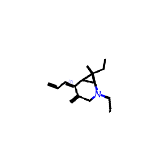 C=C/C=C1\C(=C)CN(CC)C2C1C2(C)CC